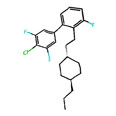 CCC[C@H]1CC[C@H](CCc2c(F)cccc2-c2cc(F)c(Cl)c(F)c2)CC1